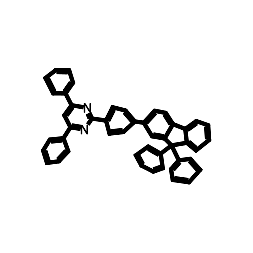 c1ccc(-c2cc(-c3ccccc3)nc(-c3ccc(-c4ccc5c(c4)C(c4ccccc4)(c4ccccc4)c4ccccc4-5)cc3)n2)cc1